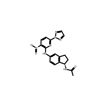 CC(=O)N[C@@H]1CCc2cc(Nc3nc(-n4nccn4)ccc3[N+](=O)[O-])ccc21